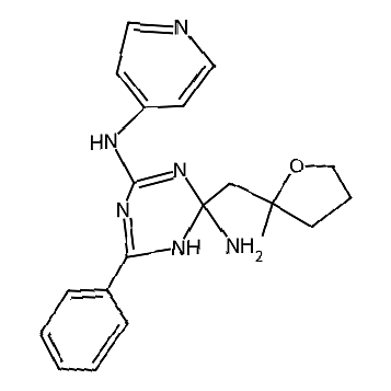 CC1(CC2(N)N=C(Nc3ccncc3)N=C(c3ccccc3)N2)CCCO1